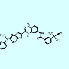 Cc1ccc(NC(=O)c2cccc(C(C)(C)C#N)c2)cc1NC(=O)c1cc2nc(N(C)c3ccncc3)cnc2s1